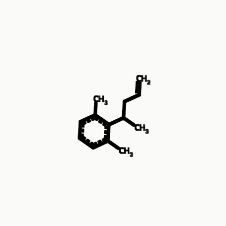 C=CC[C](C)c1c(C)cccc1C